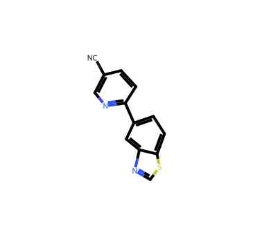 N#Cc1ccc(-c2ccc3scnc3c2)nc1